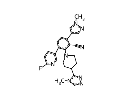 Cn1cc(-c2ccc(-c3ccc(F)nc3)c(N3CCC(c4nncn4C)CC3)c2C#N)cn1